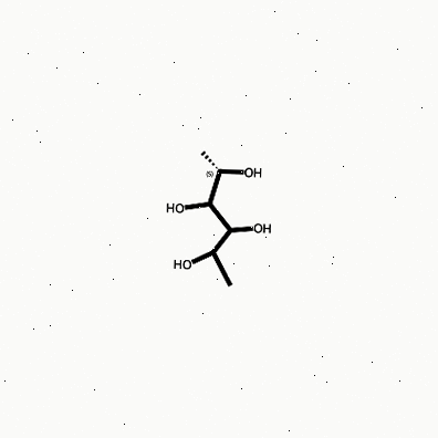 CC(O)C(O)C(O)[C@H](C)O